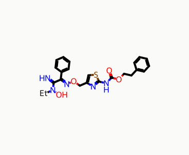 CCN(O)C(=N)C(=NOCc1csc(NC(=O)OCCc2ccccc2)n1)c1ccccc1